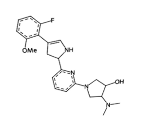 COc1cccc(F)c1C1=CNC(c2cccc(N3CC(O)C(N(C)C)C3)n2)C1